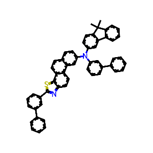 CC1(C)c2ccccc2-c2cc(N(c3cccc(-c4ccccc4)c3)c3ccc4ccc5c(ccc6nc(-c7cccc(-c8ccccc8)c7)sc65)c4c3)ccc21